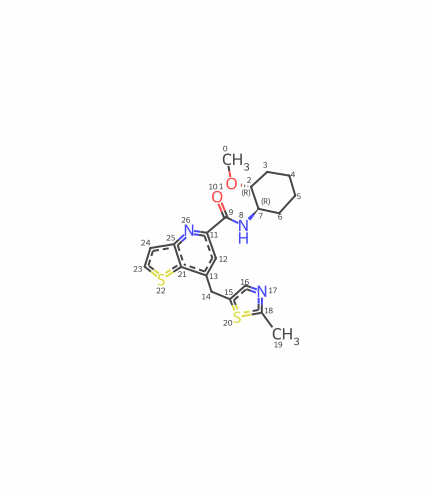 CO[C@@H]1CCCC[C@H]1NC(=O)c1cc(Cc2cnc(C)s2)c2sccc2n1